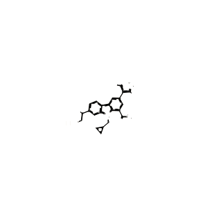 Cc1noc(C)c1-c1cc(C(N)=O)c2c(c1)c1ccc(C(C)CO)cc1n2CC1CC1